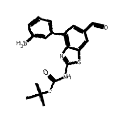 Bc1cccc(-c2cc(C=O)cc3sc(NC(=O)OC(C)(C)C)nc23)c1